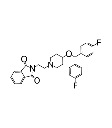 O=C1c2ccccc2C(=O)N1CCN1CCC(OC(c2ccc(F)cc2)c2ccc(F)cc2)CC1